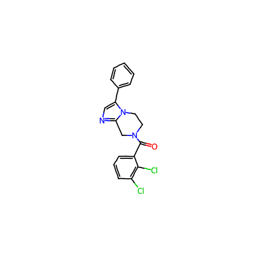 O=C(c1cccc(Cl)c1Cl)N1CCn2c(-c3ccccc3)cnc2C1